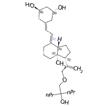 C=C(COCC(O)(CCC)CCC)[C@H]1CC[C@H]2/C(=C/C=C3C[C@@H](O)C[C@H](O)C3)CCC[C@]12C